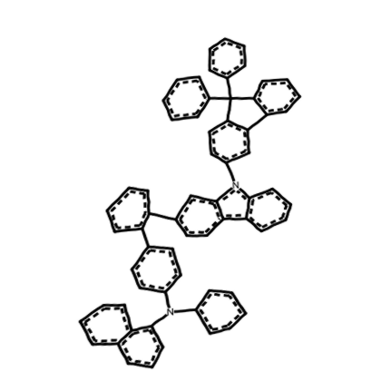 c1ccc(N(c2ccc(-c3ccccc3-c3ccc4c5ccccc5n(-c5ccc6c(c5)-c5ccccc5C6(c5ccccc5)c5ccccc5)c4c3)cc2)c2cccc3ccccc23)cc1